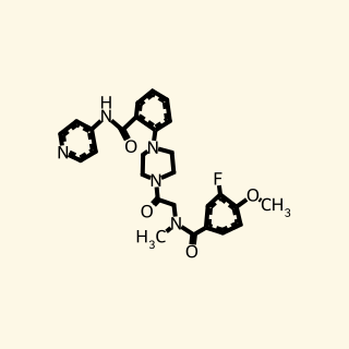 COc1ccc(C(=O)N(C)CC(=O)N2CCN(c3ccccc3C(=O)Nc3ccncc3)CC2)cc1F